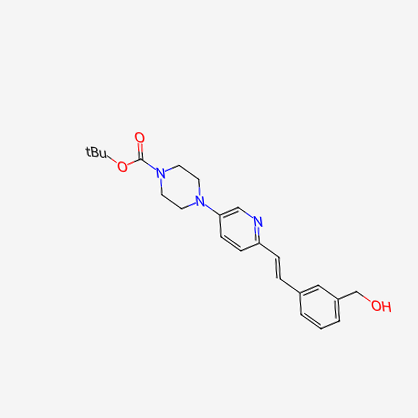 CC(C)(C)OC(=O)N1CCN(c2ccc(C=Cc3cccc(CO)c3)nc2)CC1